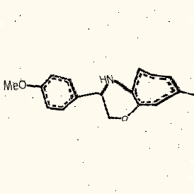 COc1ccc(C2COc3cc(C)ccc3N2)cc1